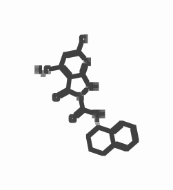 Cc1cc(Cl)nc2[nH]n(C(=O)N[C@H]3CCCc4ccccc43)c(=O)c12